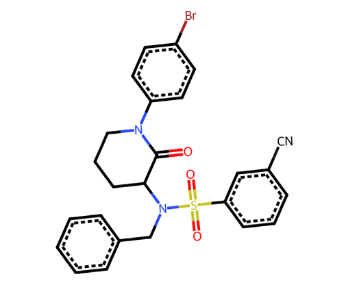 N#Cc1cccc(S(=O)(=O)N(Cc2ccccc2)C2CCCN(c3ccc(Br)cc3)C2=O)c1